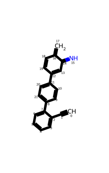 C#Cc1ccccc1-c1ccc(C2=CC(=N)C(=C)C=C2)cc1